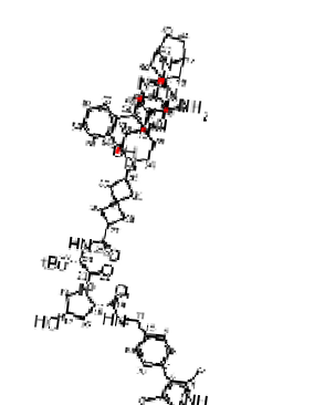 Cc1n[nH]c(C)c1-c1ccc(CNC(=O)[C@@H]2C[C@@H](O)CN2C(=O)[C@@H](NC(=O)C2CC3(C2)CC(N2CCC(c4cnc(N5C6CCC5CN(c5cc(-c7ccccc7O)nnc5N)C6)nc4)CC2)C3)C(C)(C)C)cc1